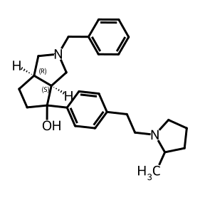 CC1CCCN1CCc1ccc(C2(O)CC[C@H]3CN(Cc4ccccc4)C[C@H]32)cc1